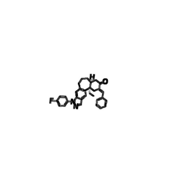 CC[C@@]12C/C(=C\c3ccccc3)C(=O)C[C@@H]1CCCc1cc3c(cnn3-c3ccc(F)cc3)cc12